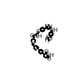 O=C1CCC(c2ccc(N3CCC(CN4CCC(C(=O)NCCOc5ccc(-c6cc(Nc7ccc(OC(F)(F)F)cc7)ncn6)cc5)CC4)CC3)cc2)C(=O)N1